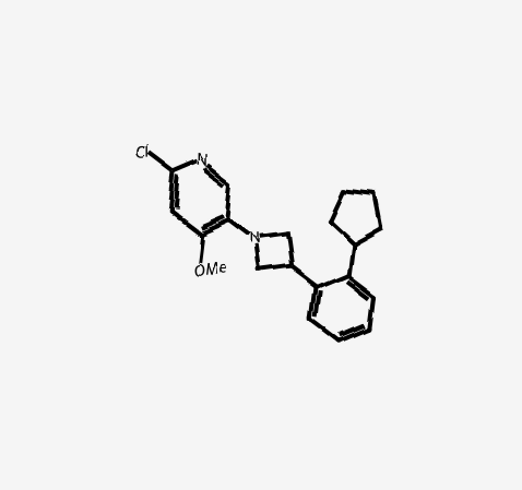 COc1cc(Cl)ncc1N1CC(c2ccccc2C2CCCC2)C1